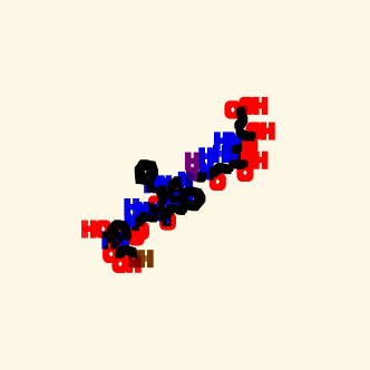 N[C@@H](CNC(=O)[C@H](Cc1ccccc1)NC(=O)[C@H](Cc1ccccc1)NC(=O)CNPCNC(=O)CC[C@H](NC(=O)N[C@@H](CCC(=O)O)C(=O)O)C(=O)O)C(=O)NC(CC(=O)O)C(=O)NC(CS)C(=O)O